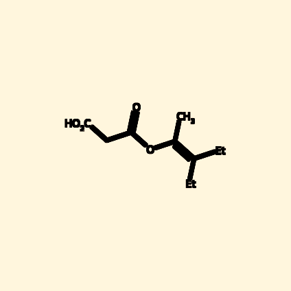 CCC(CC)=C(C)OC(=O)CC(=O)O